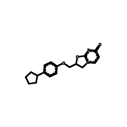 O=c1ccn2c(n1)OC(COc1ccc(C3CCCC3)cc1)C2